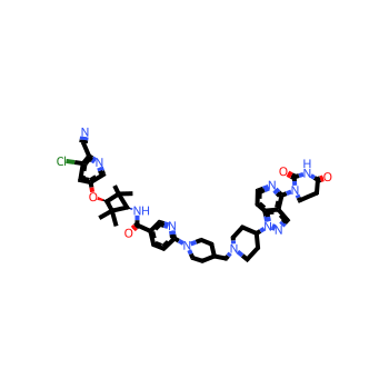 CC1(C)[C@H](NC(=O)c2ccc(N3CCC(CN4CCC(n5ncc6c(N7CCC(=O)NC7=O)nccc65)CC4)CC3)nc2)C(C)(C)[C@H]1Oc1cnc(C#N)c(Cl)c1